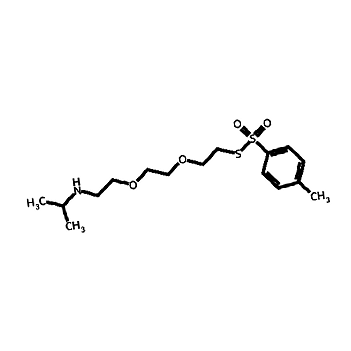 Cc1ccc(S(=O)(=O)SCCOCCOCCNC(C)C)cc1